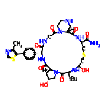 Cc1ncsc1-c1ccc([C@H]2NC(=O)[C@@H]3C[C@@H](O)CN3C(=O)[C@H](C(C)(C)C)NC(O)CSC[C@H](C(N)=O)NC(=O)[C@H]3CNCCN3C(=O)CNC2=O)cc1